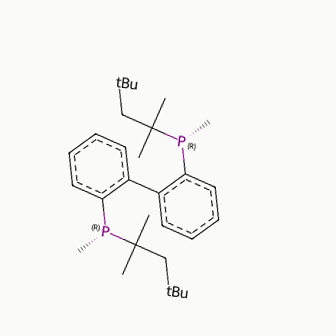 C[P@](c1ccccc1-c1ccccc1[P@@](C)C(C)(C)CC(C)(C)C)C(C)(C)CC(C)(C)C